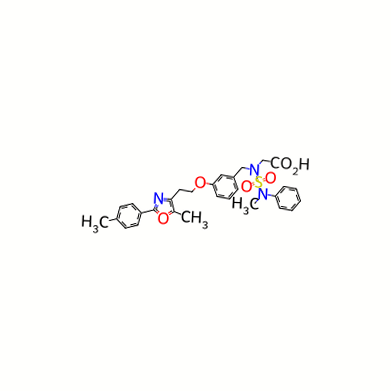 Cc1ccc(-c2nc(CCOc3cccc(CN(CC(=O)O)S(=O)(=O)N(C)c4ccccc4)c3)c(C)o2)cc1